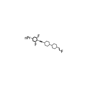 CCCc1cc(F)c(C#CC2CCC(C3CCC(C=CF)CC3)CC2)c(F)c1